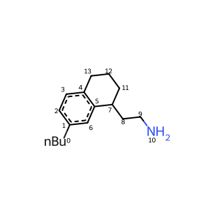 CCCCc1ccc2c(c1)C(CCN)CCC2